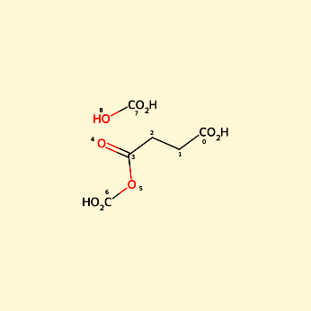 O=C(O)CCC(=O)OC(=O)O.O=C(O)O